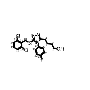 OCCCCc1nnc(SCc2c(Cl)cccc2Cl)n1-c1ccc(F)cc1